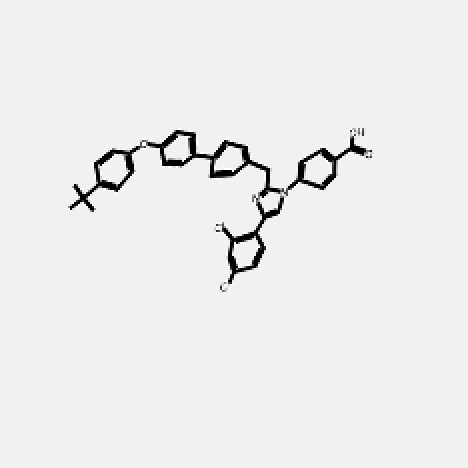 CC(C)(C)c1ccc(Oc2ccc(-c3ccc(Cc4nc(-c5ccc(Cl)cc5Cl)cn4-c4ccc(C(=O)O)cc4)cc3)cc2)cc1